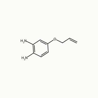 C=CCOc1ccc(N)c(N)c1